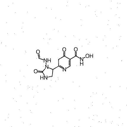 O=CNN1C(=O)NCC1C1=NC=C(C(=O)NO)C(=O)C1